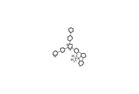 CC1(C)c2ccccc2-c2cccc(-c3ccc(-c4cc(-c5ccc(-c6ccccc6)cc5)nc(-c5ccc(-c6cccnc6)cc5)n4)cc3)c21